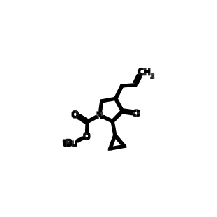 C=CCC1CN(C(=O)OC(C)(C)C)C(C2CC2)C1=O